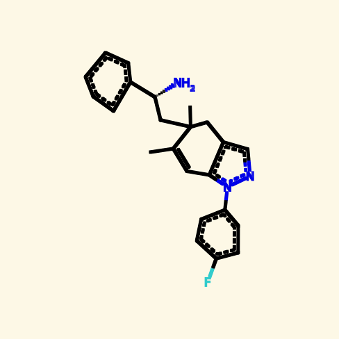 CC1=Cc2c(cnn2-c2ccc(F)cc2)CC1(C)C[C@@H](N)c1ccccc1